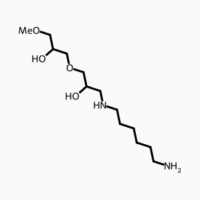 COCC(O)COCC(O)CNCCCCCCN